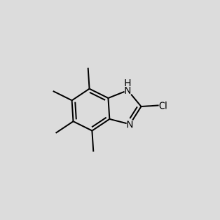 Cc1c(C)c(C)c2[nH]c(Cl)nc2c1C